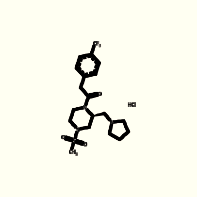 CS(=O)(=O)N1CCN(C(=O)Cc2ccc(C(F)(F)F)cc2)[C@@H](CN2CCCC2)C1.Cl